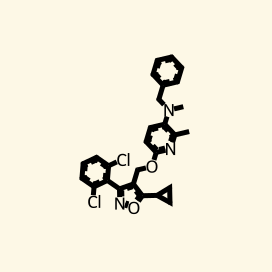 Cc1nc(OCc2c(-c3c(Cl)cccc3Cl)noc2C2CC2)ccc1N(C)Cc1ccccc1